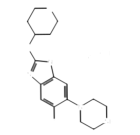 Cl.Cl.Clc1cc2nc(SC3CCOCC3)[nH]c2cc1N1CCNCC1